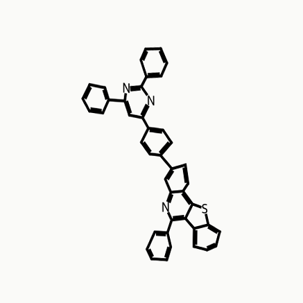 c1ccc(-c2cc(-c3ccc(-c4ccc5c(c4)nc(-c4ccccc4)c4c6ccccc6sc54)cc3)nc(-c3ccccc3)n2)cc1